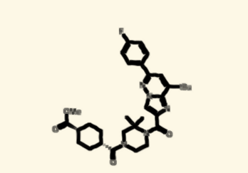 COC(=O)[C@H]1CC[C@H](C(=O)N2CCN(C(=O)c3cn4nc(-c5ccc(F)cc5)cc(C(C)(C)C)c4n3)C(C)(C)C2)CC1